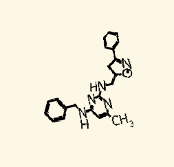 Cc1cc(NCc2ccccc2)nc(NCC2CC(c3ccccc3)=NO2)n1